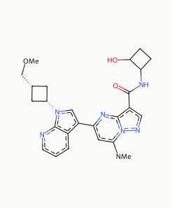 CNc1cc(-c2cn([C@H]3C[C@@H](COC)C3)c3ncccc23)nc2c(C(=O)NC3CCC3O)cnn12